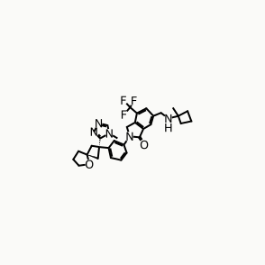 Cn1cnnc1[C@]1(c2cccc(N3Cc4c(cc(CNC5(C)CCC5)cc4C(F)(F)F)C3=O)c2)C[C@@]2(CCCO2)C1